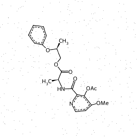 COc1ccnc(C(=O)N[C@@H](C)C(=O)OC[C@H](C)Oc2ccccc2)c1OC(C)=O